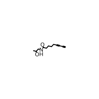 C#CC#CCCCCC(=O)NCC(C)=O